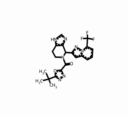 CC(C)(C)c1nnc(C(=O)N2CCc3[nH]cnc3C2c2cc3cccc(C(F)(F)F)n3n2)o1